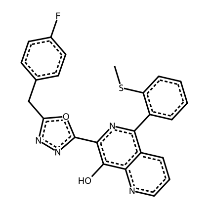 CSc1ccccc1-c1nc(-c2nnc(Cc3ccc(F)cc3)o2)c(O)c2ncccc12